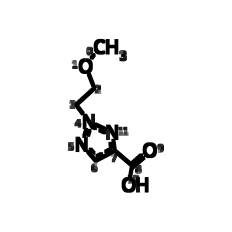 COCCn1ncc(C(=O)O)n1